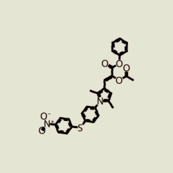 CC(=O)OC(=Cc1cc(C)n(-c2ccc(Sc3ccc([N+](=O)[O-])cc3)cc2)c1C)C(=O)Oc1ccccc1